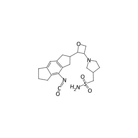 NS(=O)(=O)CC1CCN(C2COC2C2Cc3cc4c(c(N=C=O)c3C2)CCC4)C1